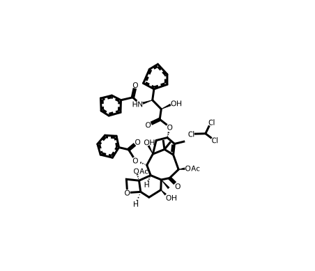 CC(=O)O[C@H]1C(=O)[C@@]2(C)[C@H]([C@H](OC(=O)c3ccccc3)[C@]3(O)C[C@H](OC(=O)[C@H](O)[C@@H](NC(=O)c4ccccc4)c4ccccc4)C(C)=C1C3(C)C)[C@]1(OC(C)=O)CO[C@@H]1C[C@@H]2O.ClC(Cl)Cl